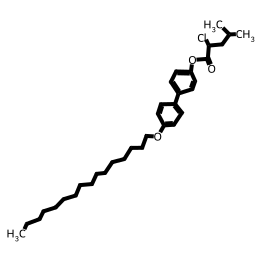 CCCCCCCCCCCCCCCCOc1ccc(-c2ccc(OC(=O)C(Cl)CC(C)C)cc2)cc1